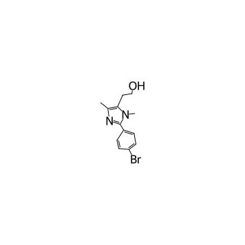 Cc1nc(-c2ccc(Br)cc2)n(C)c1CCO